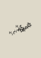 CCCC/C=C/C(O)C(C)CC(C)COCc1ccccc1